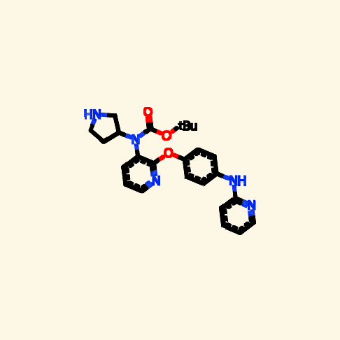 CC(C)(C)OC(=O)N(c1cccnc1Oc1ccc(Nc2ccccn2)cc1)C1CCNC1